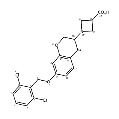 CCc1cccc(Cl)c1COc1ccc2c(c1)OCC(N1CC(C(=O)O)C1)C2